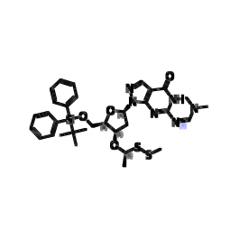 CSS[C@@H](C)O[C@@H]1C[C@H](n2ncc3c(=O)[nH]c(/N=C\N(C)C)nc32)O[C@@H]1CO[Si](c1ccccc1)(c1ccccc1)C(C)(C)C